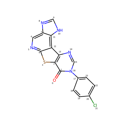 O=c1c2sc3ncc4nc[nH]c4c3c2ncn1-c1ccc(Cl)cc1